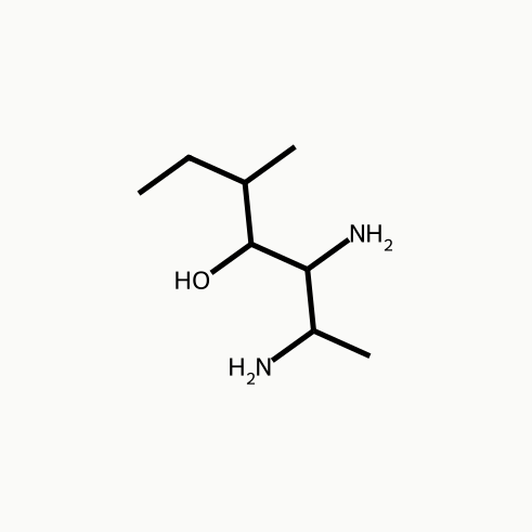 CCC(C)C(O)C(N)C(C)N